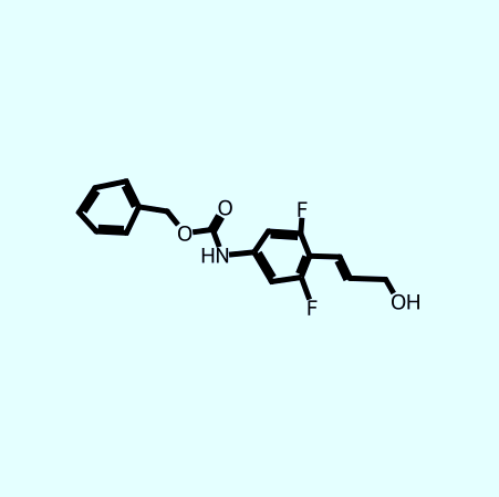 O=C(Nc1cc(F)c(/C=C/CO)c(F)c1)OCc1ccccc1